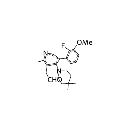 COc1cccc(-c2cnc(C)c(CC=O)c2N2CCC(C)(C)CC2)c1F